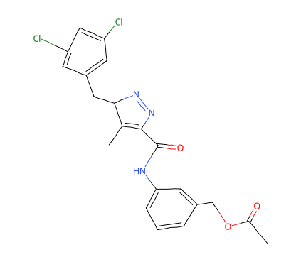 CC(=O)OCc1cccc(NC(=O)C2=C(C)C(Cc3cc(Cl)cc(Cl)c3)N=N2)c1